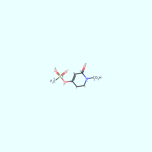 O=C(O)N1CCC(OS(=O)(=O)C(F)(F)F)=CC1=O